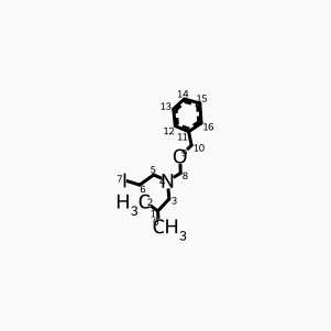 CC(C)CN(CCI)COCc1ccccc1